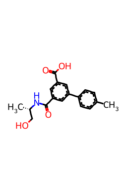 Cc1ccc(-c2cc(C(=O)O)cc(C(=O)N[C@@H](C)CO)c2)cc1